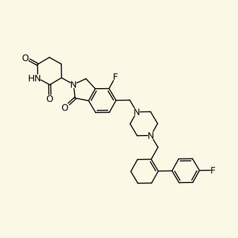 O=C1CCC(N2Cc3c(ccc(CN4CCN(CC5=C(c6ccc(F)cc6)CCCC5)CC4)c3F)C2=O)C(=O)N1